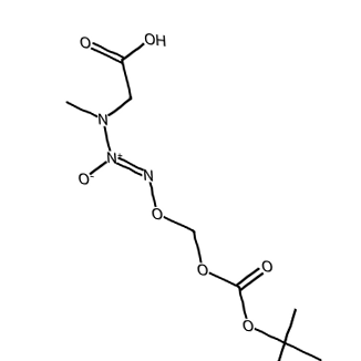 CN(CC(=O)O)/[N+]([O-])=N/OCOC(=O)OC(C)(C)C